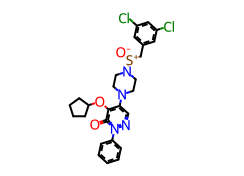 O=c1c(OC2CCCC2)c(N2CCN([S+]([O-])Cc3cc(Cl)cc(Cl)c3)CC2)cnn1-c1ccccc1